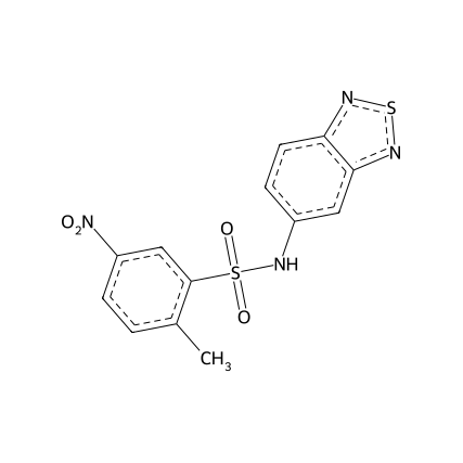 Cc1ccc([N+](=O)[O-])cc1S(=O)(=O)Nc1ccc2nsnc2c1